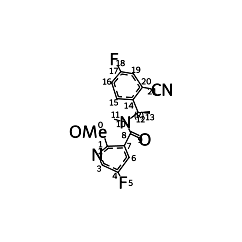 COc1ncc(F)cc1C(=O)N(C)[C@H](C)c1ccc(F)cc1C#N